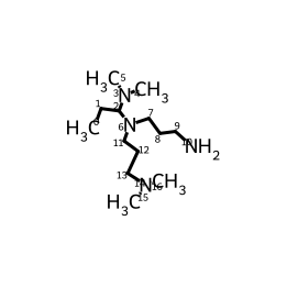 CCC(N(C)C)N(CCCN)CCCN(C)C